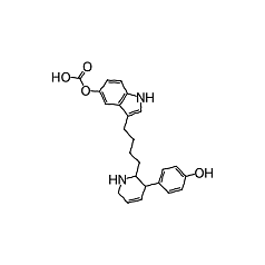 O=C(O)Oc1ccc2[nH]cc(CCCCC3NCC=CC3c3ccc(O)cc3)c2c1